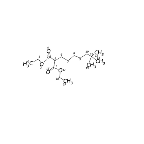 CCOC(=O)C(CCCCCC(C)(C)C)C(=O)OCC